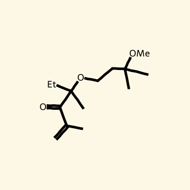 C=C(C)C(=O)C(C)(CC)OCCC(C)(C)OC